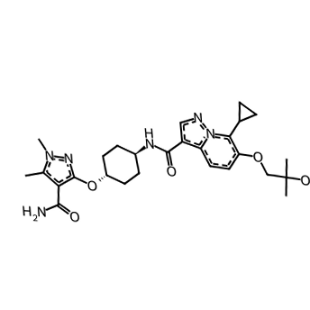 Cc1c(C(N)=O)c(O[C@H]2CC[C@H](NC(=O)c3cnn4c(C5CC5)c(OCC(C)(C)O)ccc34)CC2)nn1C